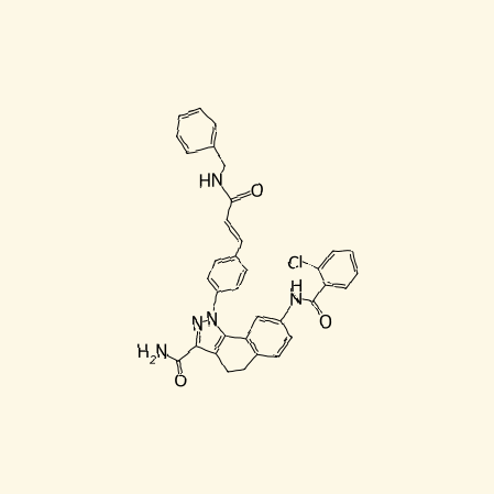 NC(=O)c1nn(-c2ccc(/C=C/C(=O)NCc3ccccc3)cc2)c2c1CCc1ccc(NC(=O)c3ccccc3Cl)cc1-2